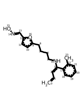 C=C/C=C(/NCCCCc1ccc(/C=N/O)o1)c1ccccc1C